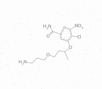 CC(CCOCCCN)Oc1cc(C(N)=O)cc([N+](=O)[O-])c1Cl